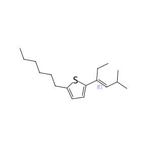 CCCCCCc1ccc(/C(=C/C(C)C)CC)s1